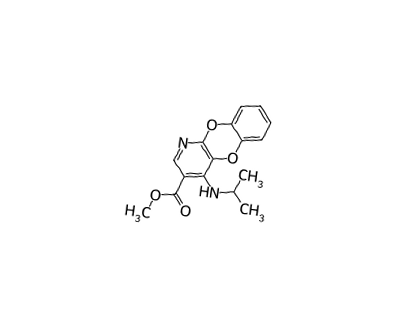 COC(=O)c1cnc2c(c1NC(C)C)Oc1ccccc1O2